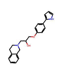 OC(COc1ccc(-c2ccc[nH]2)cc1)CN1CCc2ccccc2C1